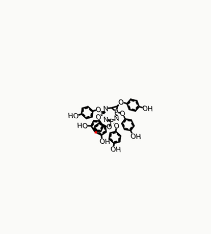 Oc1ccc(OC2C3N=P(Oc4ccc(O)cc4)(Oc4ccc(O)cc4)N=P(Oc4ccc(O)cc4)(Oc4ccc(O)cc4)N=P32Oc2ccc(O)cc2)cc1